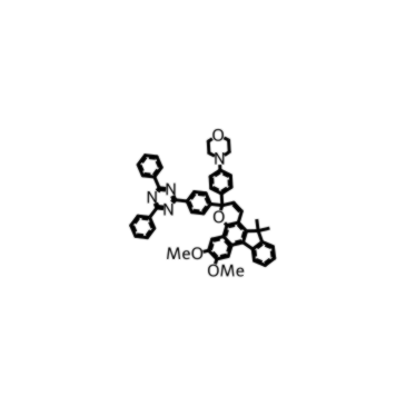 COc1cc2c3c(c4c(c2cc1OC)-c1ccccc1C4(C)C)C=CC(c1ccc(-c2nc(-c4ccccc4)nc(-c4ccccc4)n2)cc1)(c1ccc(N2CCOCC2)cc1)O3